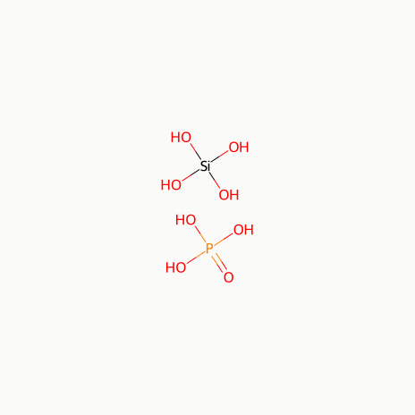 O=P(O)(O)O.O[Si](O)(O)O